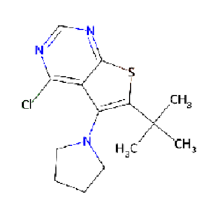 CC(C)(C)c1sc2ncnc(Cl)c2c1N1CCCC1